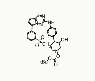 CC(C)(C)OC(=O)ON1CCC(c2ccc(Nc3ncc4ccc(-c5cccc(S(C)(=O)=O)c5)n4n3)cc2)C(O)C1